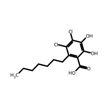 CCCCCCCc1c(Cl)c(Cl)c(O)c(O)c1C(=O)O